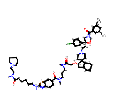 CN(CCN1CC[CH]CC1)C(=O)CCCCCNc1nc2ccc(C(=O)N(C)CCCN(C)C(=O)CO[C@H]3Cc4ccccc4C34CCN(CC[C@]3(c5ccc(F)cc5)CN(C(=O)c5cc(C(F)(F)F)cc(C(F)(F)F)c5)CO3)CC4)cc2s1